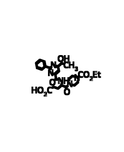 CCOC(=O)N1CCN(C(=O)C(CCC(=O)O)NC(=O)c2cc(C(C)O)nc(-c3ccccc3)n2)CC1